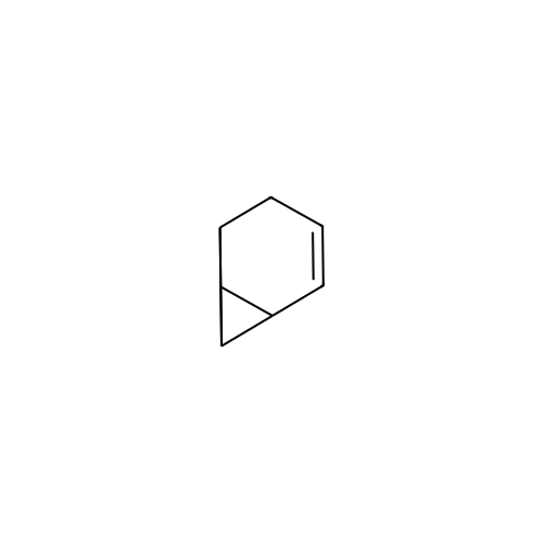 C1=CC2C3C(C1)C23